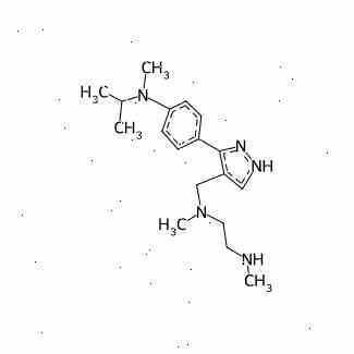 CNCCN(C)Cc1c[nH]nc1-c1ccc(N(C)C(C)C)cc1